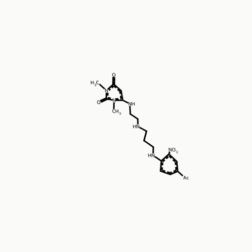 CC(=O)c1ccc(NCCCNCCNc2cc(=O)n(C)c(=O)n2C)c([N+](=O)[O-])c1